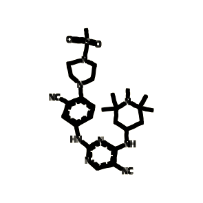 [C-]#[N+]c1cnc(Nc2ccc(N3CCN(S(C)(=O)=O)CC3)c(C#N)c2)nc1NC1CC(C)(C)N(C)C(C)(C)C1